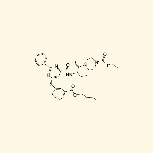 CCCCOC(=O)c1cccc(Sc2cc(C(=O)NC(CC)C(=O)N3CCN(C(=O)OCC)CC3)nc(-c3ccccc3)n2)c1